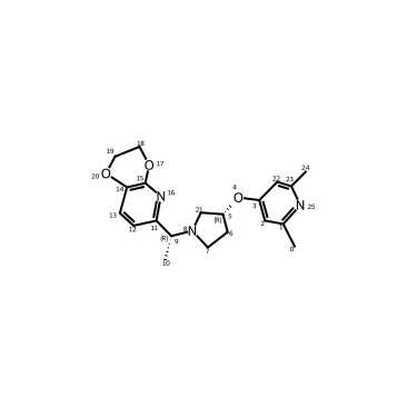 Cc1cc(O[C@@H]2CCN([C@H](C)c3ccc4c(n3)OCCO4)C2)cc(C)n1